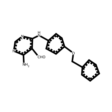 Nc1ncnc(Nc2ccc(OCc3ccccc3)cc2)c1C=O